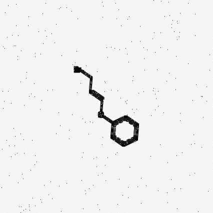 BrCC=COc1ccccc1